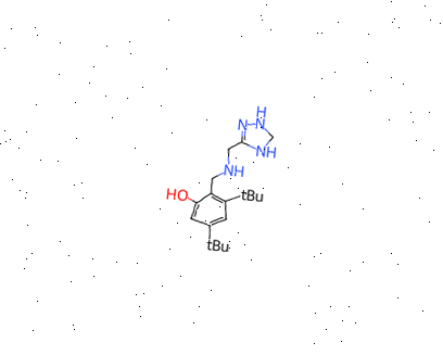 CC(C)(C)c1cc(O)c(CNCC2=NNCN2)c(C(C)(C)C)c1